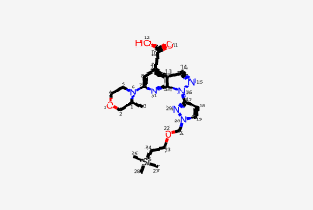 CC1COCCN1c1cc(C(=O)O)c2cnn(-c3ccn(COCC[Si](C)(C)C)n3)c2n1